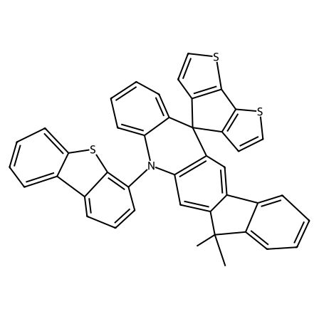 CC1(C)c2ccccc2-c2cc3c(cc21)N(c1cccc2c1sc1ccccc12)c1ccccc1C31c2ccsc2-c2sccc21